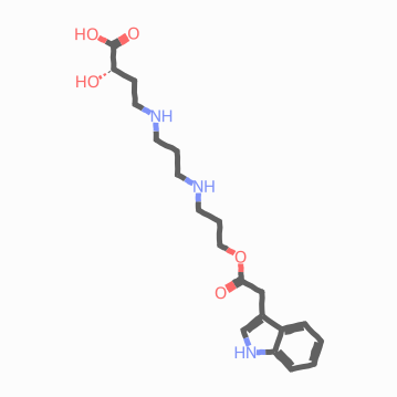 O=C(Cc1c[nH]c2ccccc12)OCCCNCCCNCC[C@H](O)C(=O)O